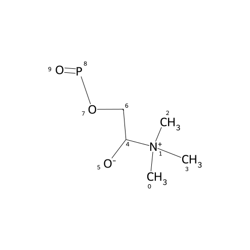 C[N+](C)(C)C([O-])COP=O